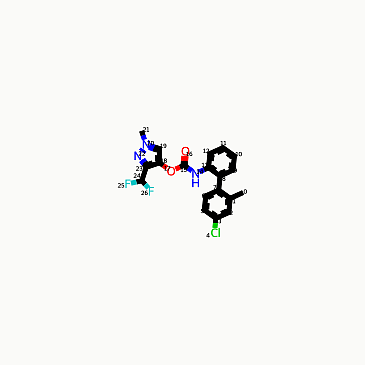 Cc1cc(Cl)ccc1-c1ccccc1NC(=O)Oc1cn(C)nc1C(F)F